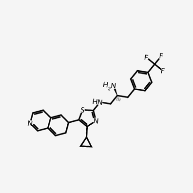 N[C@H](CNc1nc(C2CC2)c(C2C=c3ccncc3=CC2)s1)Cc1ccc(C(F)(F)F)cc1